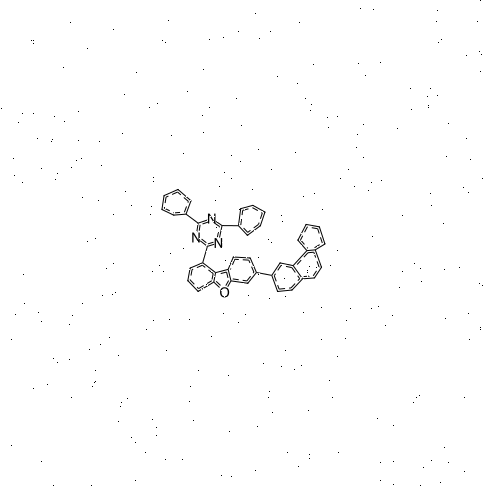 c1ccc(-c2nc(-c3ccccc3)nc(-c3cccc4oc5cc(-c6ccc7ccc8ccccc8c7c6)ccc5c34)n2)cc1